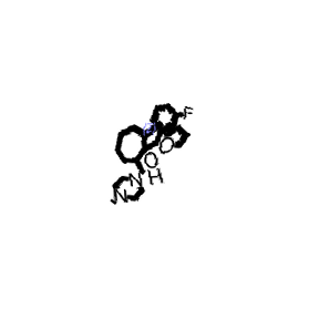 CN1CCN(CC2CCCC/C(=C/c3ccco3)C2(O)Cc2cccc(F)c2)CC1